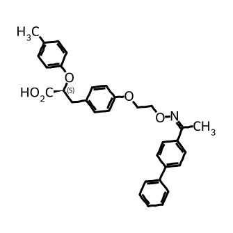 CC(=NOCCOc1ccc(C[C@H](Oc2ccc(C)cc2)C(=O)O)cc1)c1ccc(-c2ccccc2)cc1